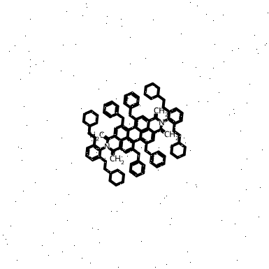 C=C1c2cc(Cc3ccccc3)c3c4c(Cc5ccccc5)cc5c6c(cc(Cc7ccccc7)c(c7c(Cc8ccccc8)cc(c2c37)C(=C)N1c1c(CCC2CCCCC2)cccc1CCC1CCCCC1)c64)C(=C)N(c1c(CCC2CCCCC2)cccc1CCC1CCCCC1)C5=C